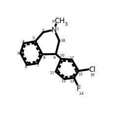 CN1Cc2ccccc2C(c2ccc(F)c(Cl)c2)C1